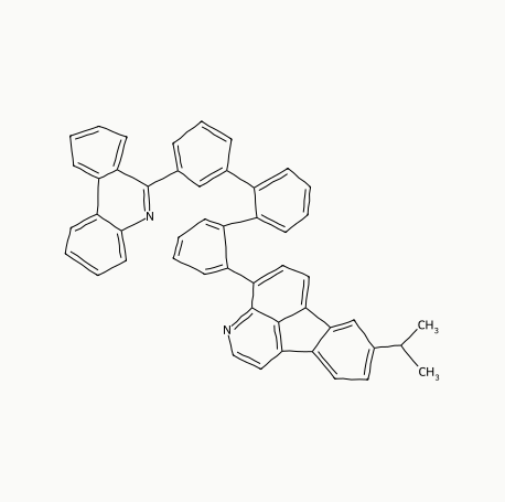 CC(C)c1ccc2c(c1)-c1ccc(-c3ccccc3-c3ccccc3-c3cccc(-c4nc5ccccc5c5ccccc45)c3)c3nccc-2c13